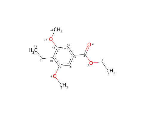 CCOC(=O)c1cc(OC)c(CC)c(OC)c1